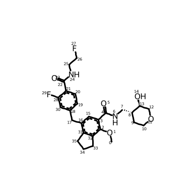 COc1c(C(=O)NC[C@H]2CCOC[C@@H]2O)cc(Cc2ccc(C(=O)NCCF)c(F)c2)c2c1CCC2